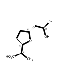 CC[C@@H](O)C[C@H]1CC[C@@H]([C@@H](C)C(=O)O)O1